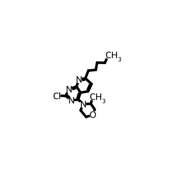 CCCCCc1ccc2c(N3CCOCC3C)nc(Cl)nc2n1